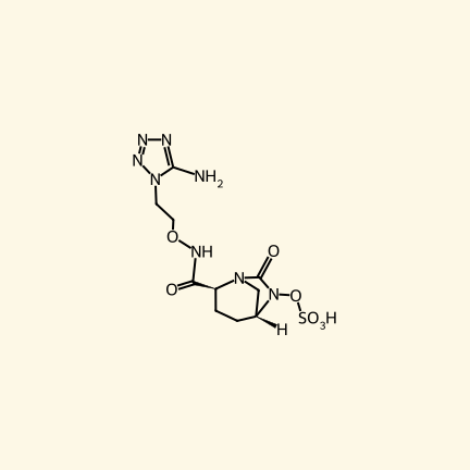 Nc1nnnn1CCONC(=O)[C@@H]1CC[C@@H]2CN1C(=O)N2OS(=O)(=O)O